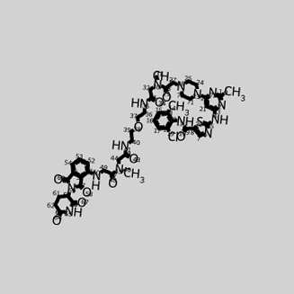 Cc1nc(Nc2ncc(C(=O)Nc3c(C)cccc3Cl)s2)cc(N2CCN(CC(=O)N(C)CC(=O)NCCOCCNC(=O)CN(C)C(=O)CNc3cccc4c3C(=O)N(C3CCC(=O)NC3=O)C4=O)CC2)n1